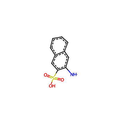 [NH]c1cc2ccccc2cc1S(=O)(=O)O